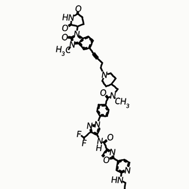 CN(CC1CCN(CCC#Cc2ccc3c(c2)n(C)c(=O)n3C2CCC(=O)NC2=O)CC1)C(=O)c1ccc(-n2cc(NC(=O)c3coc(-c4ccnc(NCC5CC5)c4)n3)c(C(F)F)n2)cc1